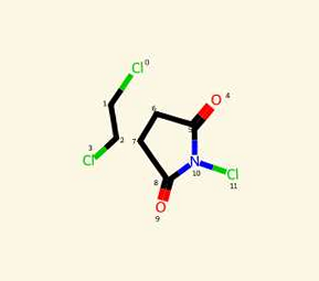 ClCCCl.O=C1CCC(=O)N1Cl